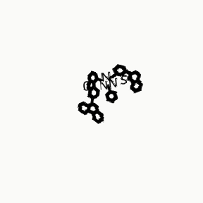 c1ccc(-c2nc(-c3cccc4c3sc3c5ccccc5ccc43)nc(-c3cccc4oc5cc(-c6cc7ccccc7c7ccccc67)ccc5c34)n2)cc1